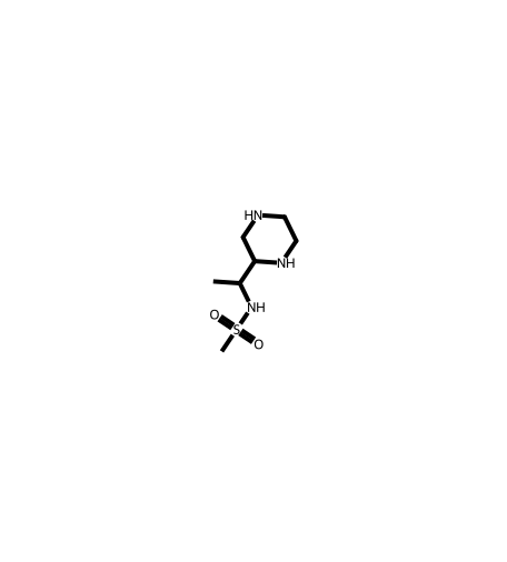 CC(NS(C)(=O)=O)C1CNCCN1